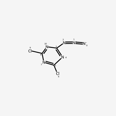 [N-]=[N+]=Nc1nc(Cl)nc(Cl)n1